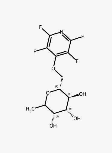 CC1O[C@H](COc2c(F)c(F)nc(F)c2F)[C@@H](O)[C@H](O)[C@@H]1O